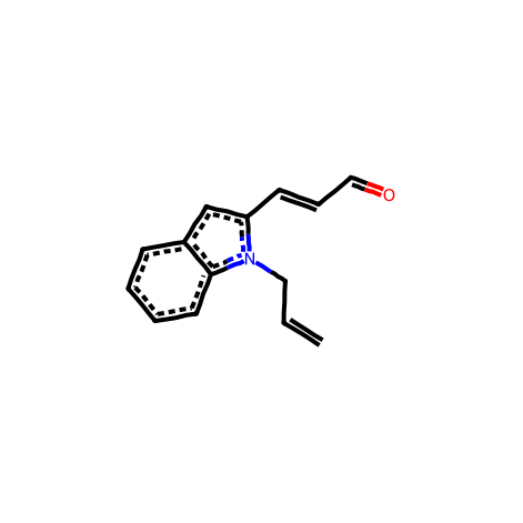 C=CCn1c(C=CC=O)cc2ccccc21